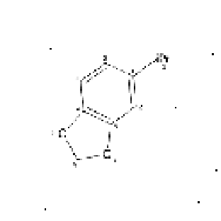 CC(C)c1[c]cc2c(c1)OCO2